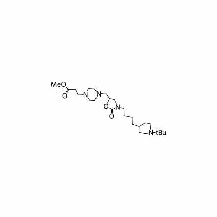 COC(=O)CCN1CCN(CC2CN(CCCCC3CCN(C(C)(C)C)CC3)C(=O)O2)CC1